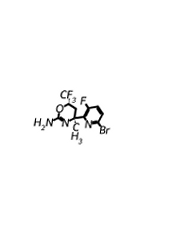 C[C@@]1(c2nc(Br)ccc2F)C[C@@H](C(F)(F)F)OC(N)=N1